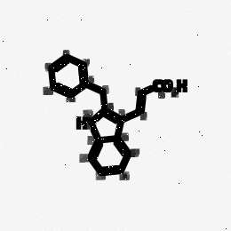 O=C(O)C=Cc1c(Cc2ccccc2)[nH]c2ccccc12